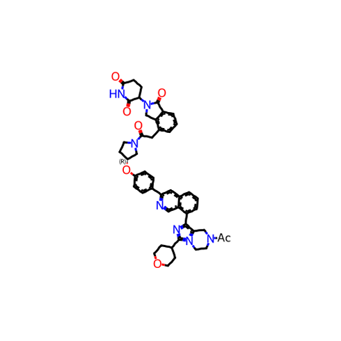 CC(=O)N1CCn2c(C3CCOCC3)nc(-c3cccc4cc(-c5ccc(O[C@@H]6CCN(C(=O)Cc7cccc8c7CN(C7CCC(=O)NC7=O)C8=O)C6)cc5)ncc34)c2C1